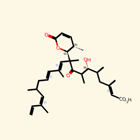 C=C/C(C)=C\C(C)C/C=C/C(C)=C/C(C)(C(=O)C(C)[C@H](O)C(C)C/C(C)=C/C(=O)O)[C@H]1OC(=O)C=C[C@@H]1C